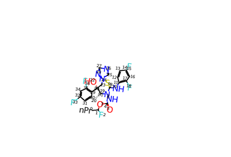 CCCC(F)OC(=O)NN(C(=S)Nc1ccc(F)cc1F)[C@H](C)[C@](O)(Cn1cncn1)c1ccc(F)cc1F